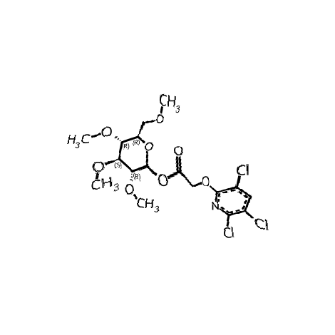 COC[C@H]1OC(OC(=O)COc2nc(Cl)c(Cl)cc2Cl)[C@H](OC)[C@@H](OC)[C@@H]1OC